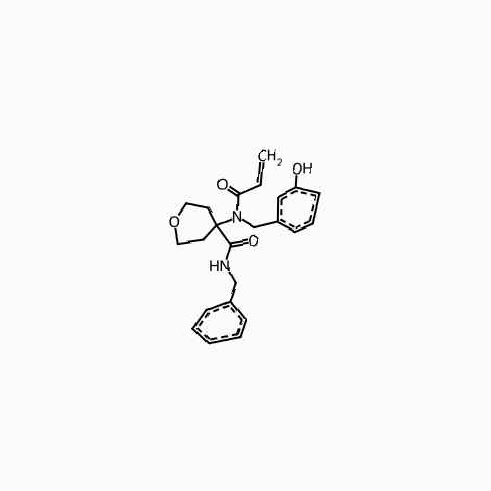 C=CC(=O)N(Cc1cccc(O)c1)C1(C(=O)NCc2ccccc2)CCOCC1